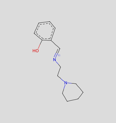 Oc1ccccc1/C=N/CCN1CCCCC1